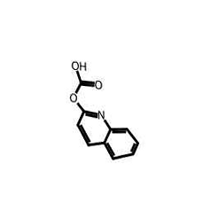 O=C(O)Oc1ccc2ccccc2n1